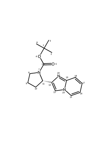 CC(C)(C)OC(=O)N1CCC[C@H]1c1cn2ccccc2n1